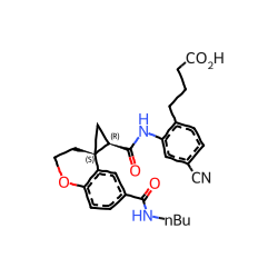 CCCCNC(=O)c1ccc2c(c1)[C@]1(CCO2)C[C@H]1C(=O)Nc1cc(C#N)ccc1CCCC(=O)O